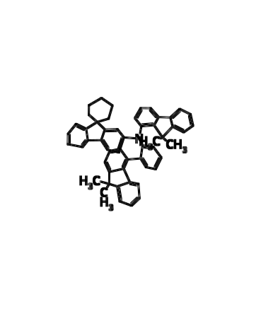 CC1(C)c2ccccc2-c2c(-c3ccccc3N(c3ccc4c(c3)C3(CCCCC3)c3ccccc3-4)c3cccc4c3C(C)(C)c3ccccc3-4)cccc21